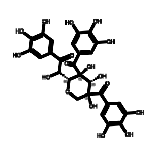 O=C(c1cc(O)c(O)c(O)c1)C(O)[C@H]1OC[C@@](O)(C(=O)c2cc(O)c(O)c(O)c2)[C@@H](O)[C@@]1(O)C(=O)c1cc(O)c(O)c(O)c1